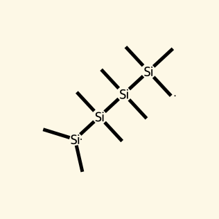 [CH2][Si](C)(C)[Si](C)(C)[Si](C)(C)[Si](C)C